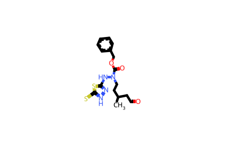 CC(CC=O)CCN(Nc1n[nH]c(=S)s1)C(=O)OCc1ccccc1